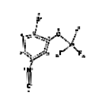 [C-]#[N+]c1ccc(Br)c(OC(F)(F)F)c1